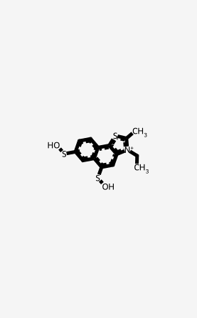 CC[n+]1c(C)sc2c3ccc(SO)cc3c(SO)cc21